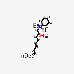 CCCCCCCCCCCCCCCCCC[N+](CC)(CC)C1CCCCC1.[OH-]